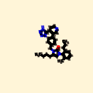 CCCCc1cn(-c2c(C)cccc2CCC)c(=O)n1Cc1ccc(-c2cnccc2-c2nnn[nH]2)cc1